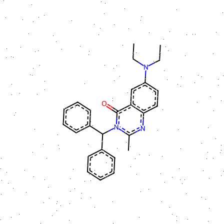 CCN(CC)c1ccc2nc(C)n(C(c3ccccc3)c3ccccc3)c(=O)c2c1